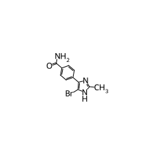 Cc1nc(-c2ccc(C(N)=O)cc2)c(Br)[nH]1